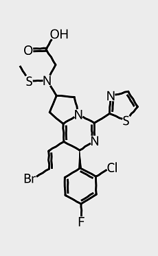 CSN(CC(=O)O)C1CC2=C(/C=C/Br)[C@H](c3ccc(F)cc3Cl)N=C(c3nccs3)N2C1